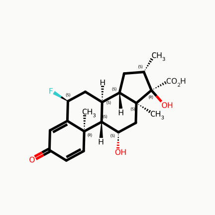 C[C@H]1C[C@H]2[C@@H]3C[C@H](F)C4=CC(=O)C=C[C@]4(C)[C@H]3[C@@H](O)C[C@]2(C)[C@@]1(O)C(=O)O